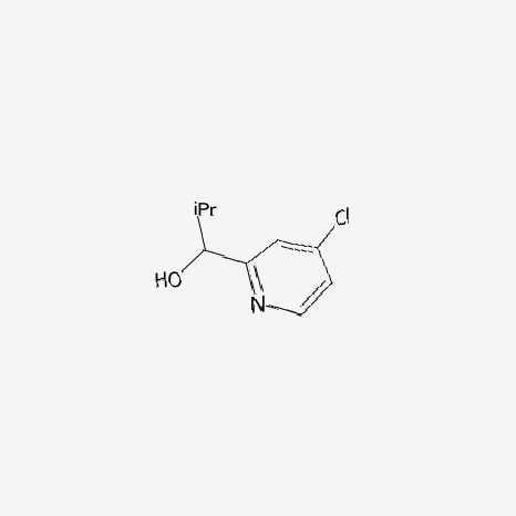 CC(C)C(O)c1cc(Cl)ccn1